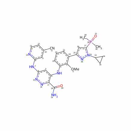 COc1c(Nc2cc(Nc3cc(C#N)ccn3)nnc2C(N)=O)cccc1-c1cc(P(C)(C)=O)n(C2CC2)n1